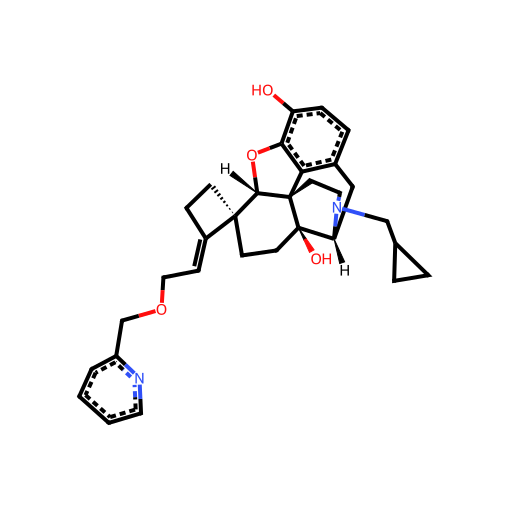 Oc1ccc2c3c1O[C@H]1[C@@]4(CC/C4=C\COCc4ccccn4)CC[C@@]4(O)[C@@H](C2)N(CC2CC2)CC[C@]314